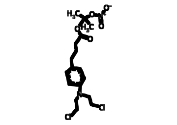 CC(C)(OC(=O)CCCc1ccc(N(CCCl)CCCl)cc1)O[N+](=O)[O-]